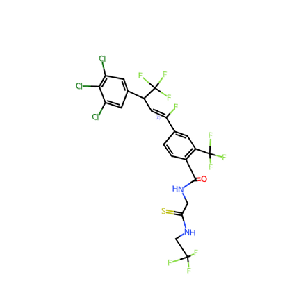 O=C(NCC(=S)NCC(F)(F)F)c1ccc(/C(F)=C/C(c2cc(Cl)c(Cl)c(Cl)c2)C(F)(F)F)cc1C(F)(F)F